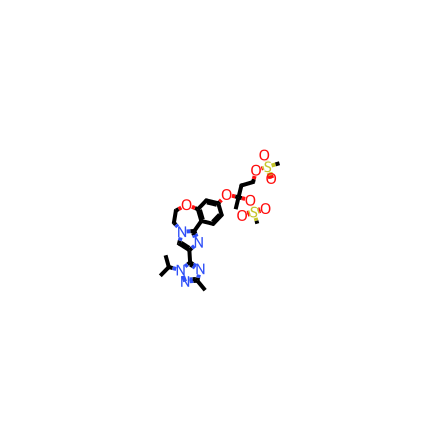 Cc1nc(-c2cn3c(n2)-c2ccc(OC(C)(CCOS(C)(=O)=O)OS(C)(=O)=O)cc2OCC3)n(C(C)C)n1